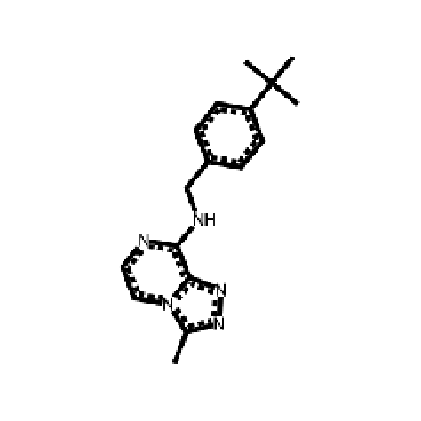 Cc1nnc2c(NCc3ccc(C(C)(C)C)cc3)nccn12